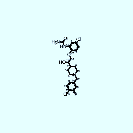 NC(=O)Nc1cc(Cl)ccc1OCC(O)C1CCN(Cc2ccc(Cl)c(F)c2)CC1